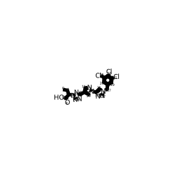 CCC(C(=O)O)n1nnc(-c2cnn(-c3cn(Cc4cc(Cl)c(Cl)c(Cl)c4)nn3)c2)n1